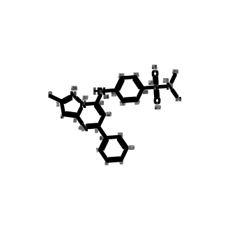 Cc1cc2nc(-c3ccccc3)cc(Nc3ccc(S(=O)(=O)N(C)C)cc3)n2n1